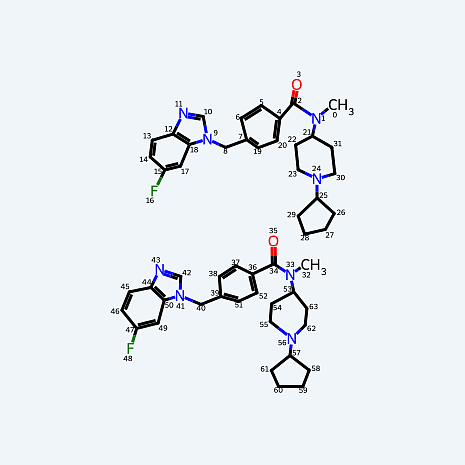 CN(C(=O)c1ccc(Cn2cnc3ccc(F)cc32)cc1)C1CCN(C2CCCC2)CC1.CN(C(=O)c1ccc(Cn2cnc3ccc(F)cc32)cc1)C1CCN(C2CCCC2)CC1